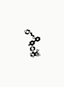 Cc1ccc(-c2ccccc2OCCCN2CCOCC2)cc1N1CCN(c2ncnc3[nH]nc(Br)c23)CC1